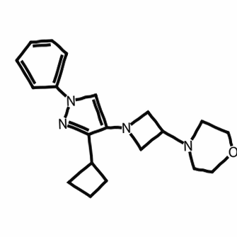 c1ccc(-n2cc(N3CC(N4CCOCC4)C3)c(C3CCC3)n2)cc1